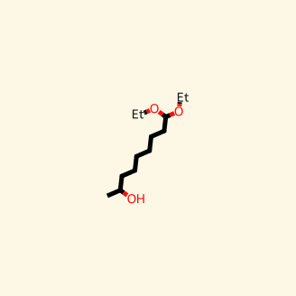 CCOC(CCCCCCC(C)O)OCC